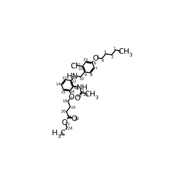 CCCCCOc1ccc(CNc2cccc(OCCCC(=O)OCC)c2NC(C)=O)c(Cl)c1